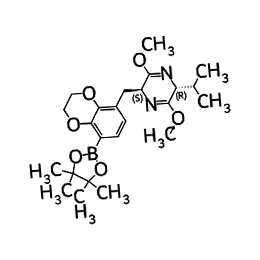 COC1=N[C@H](C(C)C)C(OC)=N[C@H]1Cc1ccc(B2OC(C)(C)C(C)(C)O2)c2c1OCCO2